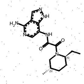 CC[C@H]1CC[C@H](C)CN1C(=O)C(=O)Nc1cnc(N)c2cn[nH]c12